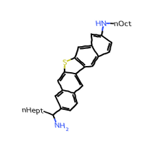 CCCCCCCCNc1ccc2cc3c(cc2c1)sc1cc2cc(C(N)CCCCCCC)ccc2cc13